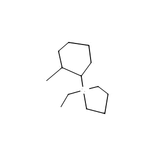 CC[N+]1(C2CCCCC2C)CCCC1